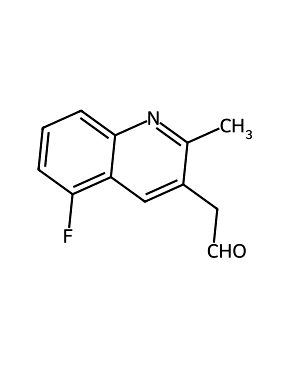 Cc1nc2cccc(F)c2cc1CC=O